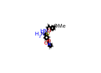 COc1cccc(C(C)CC(=O)Nc2sc3c(c2N)CCC(OC(=O)N2CCCC2)C3)c1